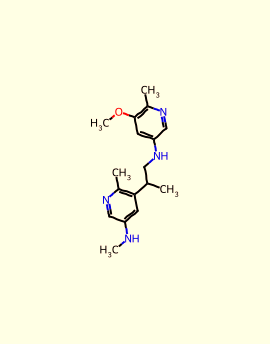 CNc1cnc(C)c(C(C)CNc2cnc(C)c(OC)c2)c1